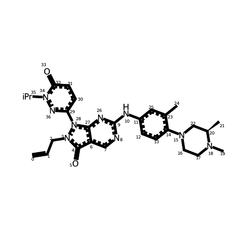 C=CCn1c(=O)c2cnc(Nc3ccc(N4CCN(C)[C@H](C)C4)c(C)c3)nc2n1-c1ccc(=O)n(C(C)C)n1